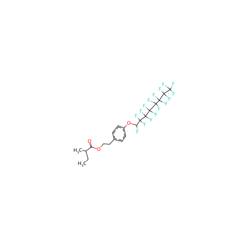 CCC(C)C(=O)OCCc1ccc(OC(F)C(F)(F)C(F)(F)C(F)(F)C(F)(F)C(F)(F)C(F)(F)C(F)(F)F)cc1